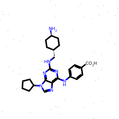 N[C@H]1CC[C@H](CNc2nc(Nc3ccc(C(=O)O)cc3)c3ncn(C4CCCC4)c3n2)CC1